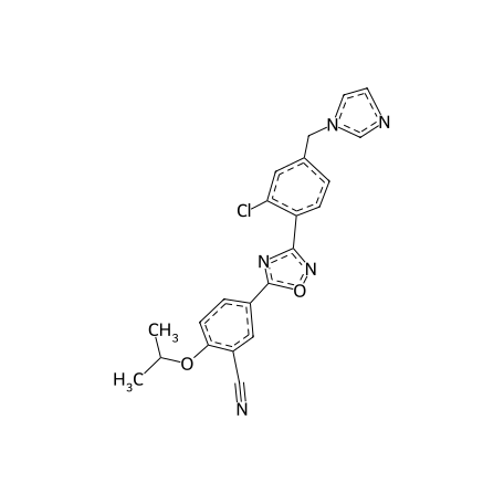 CC(C)Oc1ccc(-c2nc(-c3ccc(Cn4ccnc4)cc3Cl)no2)cc1C#N